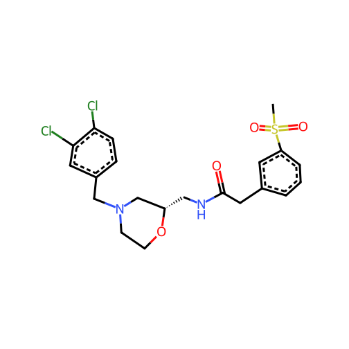 CS(=O)(=O)c1cccc(CC(=O)NC[C@H]2CN(Cc3ccc(Cl)c(Cl)c3)CCO2)c1